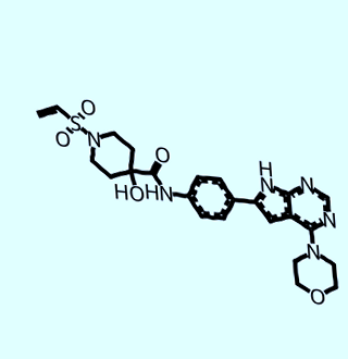 C=CS(=O)(=O)N1CCC(O)(C(=O)Nc2ccc(-c3cc4c(N5CCOCC5)ncnc4[nH]3)cc2)CC1